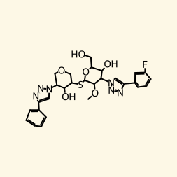 COC1C(SC2COCC(n3cc(-c4ccccc4)nn3)C2O)OC(CO)C(O)C1n1cc(-c2cccc(F)c2)nn1